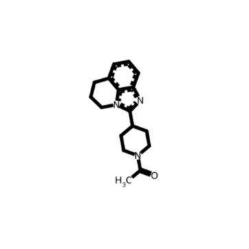 CC(=O)N1CCC(c2nc3cccc4c3n2CCC4)CC1